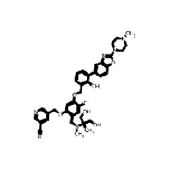 Cc1c(COc2cc(OCc3cncc(C#N)c3)c(CN(C)C(C)(CO)CO)cc2Cl)cccc1-c1ccc2oc(N3CCN(C)CC3)nc2c1